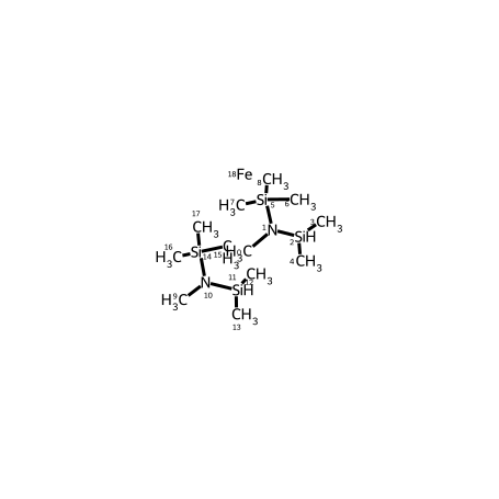 CN([SiH](C)C)[Si](C)(C)C.CN([SiH](C)C)[Si](C)(C)C.[Fe]